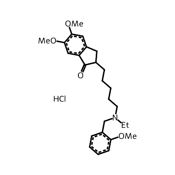 CCN(CCCCCC1Cc2cc(OC)c(OC)cc2C1=O)Cc1ccccc1OC.Cl